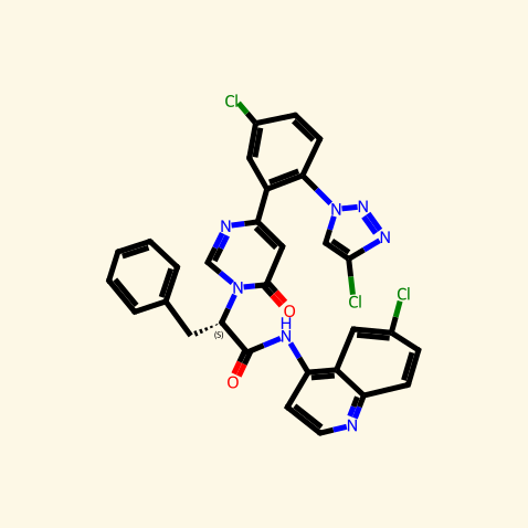 O=C(Nc1ccnc2ccc(Cl)cc12)[C@H](Cc1ccccc1)n1cnc(-c2cc(Cl)ccc2-n2cc(Cl)nn2)cc1=O